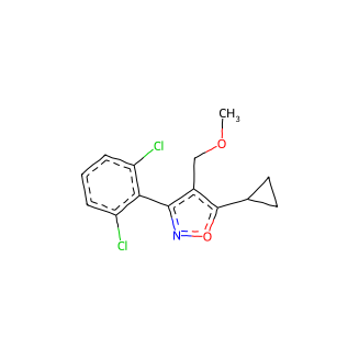 COCc1c(-c2c(Cl)cccc2Cl)noc1C1CC1